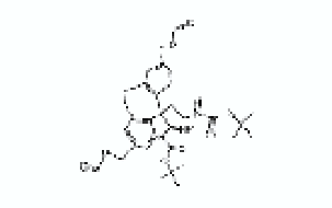 CC(C)(C)OC(=O)NCCC1(C(=N)NC(=O)OC(C)(C)C)c2ccc(COC=O)cc2CCc2cc(COC=O)ccc21